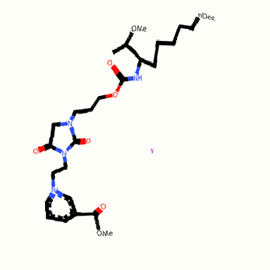 CCCCCCCCCCCCCCCC(NC(=O)OCCCN1CC(=O)N(CC[n+]2cccc(C(=O)OC)c2)C1=O)C(C)OC.[I-]